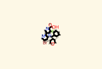 O=C(O)c1ncc2c3ncc(Br)cc3n([C@H](c3ccccc3)C3CCOCC3)c2c1F